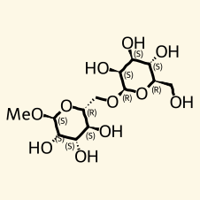 CO[C@H]1O[C@H](CO[C@@H]2O[C@H](CO)[C@@H](O)[C@H](O)[C@@H]2O)[C@@H](O)[C@H](O)[C@@H]1O